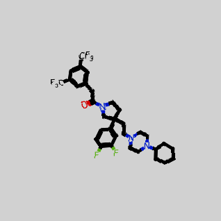 O=C(Cc1cc(C(F)(F)F)cc(C(F)(F)F)c1)N1CCC(CCN2CCN(C3CCCCC3)CC2)(c2ccc(F)c(F)c2)C1